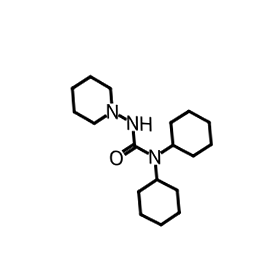 O=C(NN1CCCCC1)N(C1CCCCC1)C1CCCCC1